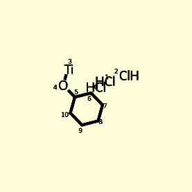 Cl.Cl.Cl.[Ti][O]C1CCCCC1